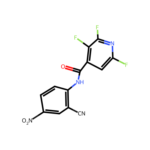 N#Cc1cc([N+](=O)[O-])ccc1NC(=O)c1cc(F)nc(F)c1F